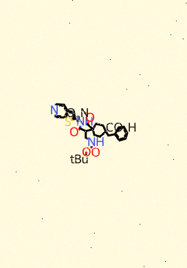 CC(C)(C)OC(=O)NCC(C(=O)Nc1cc2ccncc2s1)C1(CO[N+](=O)[O-])CCC(Cc2ccccc2)(C(=O)O)CC1